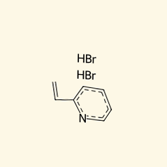 Br.Br.C=Cc1ccccn1